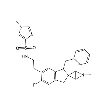 CN1C2C1C21Cc2cc(F)c(CCNS(=O)(=O)c3cn(C)cn3)cc2C1Cc1ccccc1